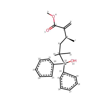 C=C(C(=O)OC)[C@@H](C)CC(C)(C)[Si](O)(c1ccccc1)c1ccccc1